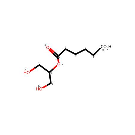 O=C(O)CCCCC(=O)OC(CO)CO